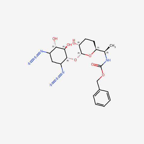 C[C@@H](NC(=O)OCc1ccccc1)[C@@H]1CC[C@@H](O)[C@@H](O[C@@H]2C(N=[N+]=[N-])CC(N=[N+]=[N-])[C@H](O)[C@H]2O)O1